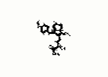 CSc1ccc(/C=C2/C(CCN(O)C(N)=O)=C(C)c3ccccc32)cc1